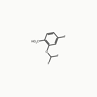 O=C(O)c1ccc(F)cc1OC(F)F